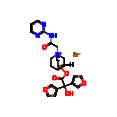 O=C(C[N+]12CCC(CC1)[C@@H](OC(=O)C(O)(c1ccoc1)c1ccoc1)C2)Nc1ncccn1.[Br-]